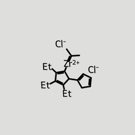 CCC1=C(CC)C(C2=CC=CC2)[C]([Zr+2]=[C](C)C)=C1CC.[Cl-].[Cl-]